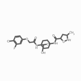 CC1CC(C(=O)NC23CCC(NC(=O)COc4ccc(Cl)c(F)c4)(CC2)C(O)C3)ON1